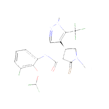 CN1C[C@H](c2cnn(C)c2C(F)(F)F)[C@@H](C(=O)Nc2cccc(F)c2OC(F)F)C1=S